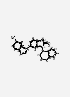 N#Cc1ccc2ncn(-c3ccc4[nH]c(=O)n([C@@H]5CCCc6ncccc65)c4n3)c2c1